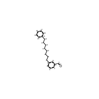 O=Cc1cccc(CCCCCCCCc2ccccc2)c1